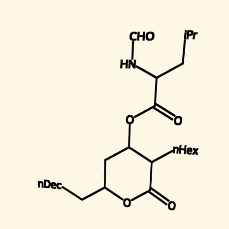 CCCCCCCCCCCC1CC(OC(=O)C(CC(C)C)NC=O)C(CCCCCC)C(=O)O1